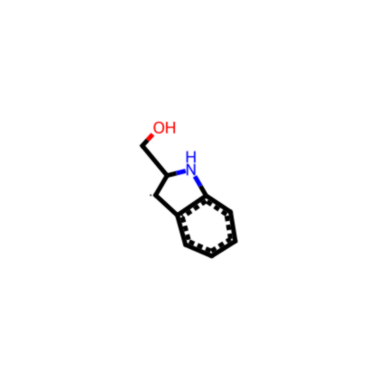 OCC1[CH]c2ccccc2N1